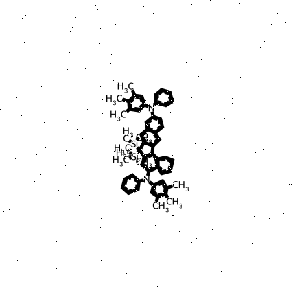 Cc1cc(N(c2ccccc2)c2ccc3cc4c(cc3c2)C([Si](C)(C)C)([Si](C)(C)C)c2cc(N(c3ccccc3)c3cc(C)c(C)c(C)c3)c3ccccc3c2-4)cc(C)c1C